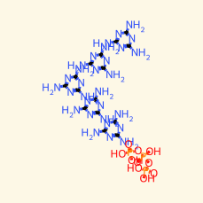 Nc1nc(N)nc(N)n1.Nc1nc(N)nc(N)n1.Nc1nc(N)nc(N)n1.Nc1nc(N)nc(N)n1.Nc1nc(N)nc(N)n1.O=P(O)(O)OP(=O)(O)OP(=O)(O)O